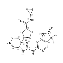 CC1(C)C(=O)Nc2cc(NC3=N[N+]4(N5CCC(C(=O)NC6CC6)C5)C=CN=CC4=N3)ccc21